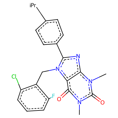 CC(C)c1ccc(-c2nc3c(c(=O)n(C)c(=O)n3C)n2Cc2c(F)cccc2Cl)cc1